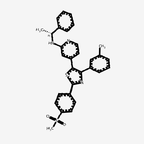 Cc1cccc(-c2nc(-c3ccc(S(C)(=O)=O)cc3)sc2-c2ccnc(N[C@H](C)c3ccccc3)c2)c1